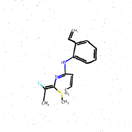 C=Cc1ccccc1NC(/C=C\C)=N/C(SC)=C(/C)F